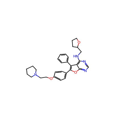 c1ccc(-c2c(-c3ccc(OCCN4CCCCC4)cc3)oc3ncnc(NCC4CCCO4)c23)cc1